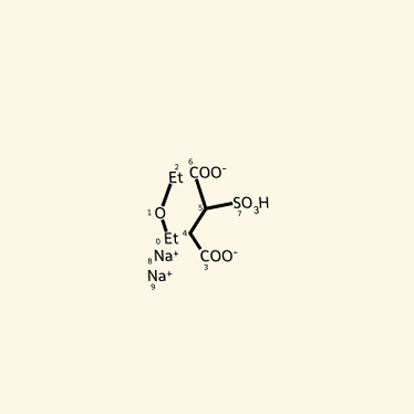 CCOCC.O=C([O-])CC(C(=O)[O-])S(=O)(=O)O.[Na+].[Na+]